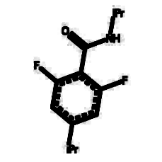 CC(C)NC(=O)c1c(F)cc(C(C)C)cc1F